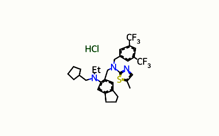 CCN(CC1CCCC1)c1cc2c(cc1CN(Cc1cc(C(F)(F)F)cc(C(F)(F)F)c1)c1ncc(C)s1)CCC2.Cl